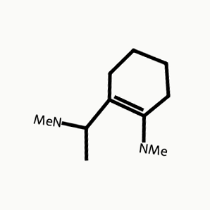 CNC1=C(C(C)NC)CCCC1